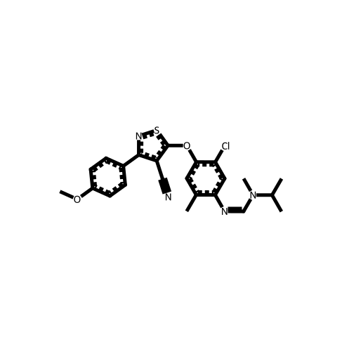 COc1ccc(-c2nsc(Oc3cc(C)c(/N=C\N(C)C(C)C)cc3Cl)c2C#N)cc1